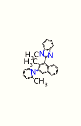 Cc1c(-[n+]2ccccc2C)cc2ccccc2c1-c1nc2ccccc2n1C